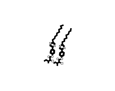 CCCCCCCCCCc1cnc(-c2ccc(OC(=O)C(Cl)C(C)CC)cc2)cn1.CCCCCCCCCc1cnc(-c2ccc(OC(=O)C(Cl)C(C)CC)cc2)cn1